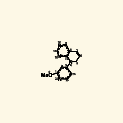 COc1cc(N2CC=Cc3cncnc32)ccn1